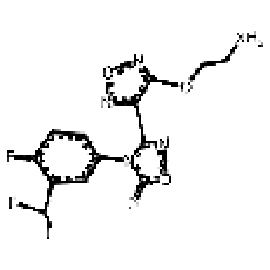 NCCOc1nonc1-c1noc(=O)n1-c1ccc(F)c(C(F)F)c1